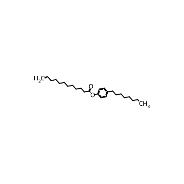 C=CCCCCCCCCCC(=O)Oc1ccc(CCCCCCCC)cc1